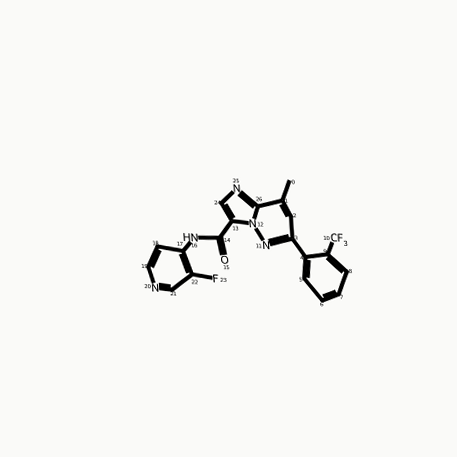 Cc1cc(-c2ccccc2C(F)(F)F)nn2c(C(=O)Nc3ccncc3F)cnc12